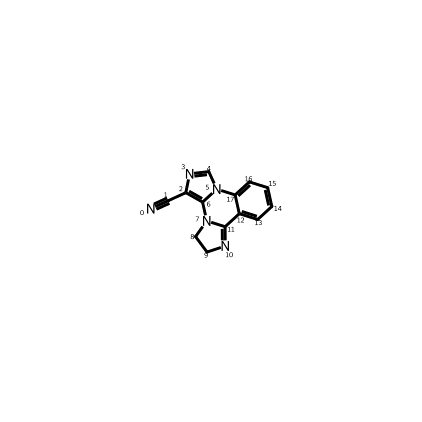 N#Cc1ncn2c1N1CCN=C1c1ccccc1-2